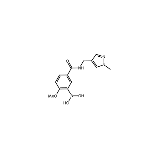 COc1ccc(C(=O)NCc2cnn(C)c2)cc1B(O)O